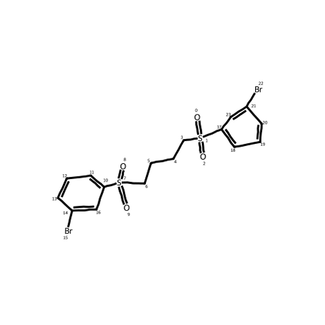 O=S(=O)(CCCCS(=O)(=O)c1cccc(Br)c1)c1cccc(Br)c1